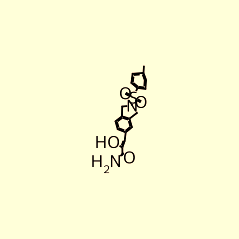 Cc1ccc(S(=O)(=O)N2Cc3ccc(/C=C(\O)C(N)=O)cc3C2)cc1